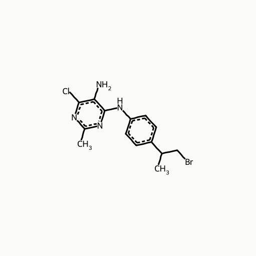 Cc1nc(Cl)c(N)c(Nc2ccc(C(C)CBr)cc2)n1